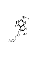 CC(=O)OCCOCn1c(C(C)=O)nc2nc(N)[nH]c(=O)c21